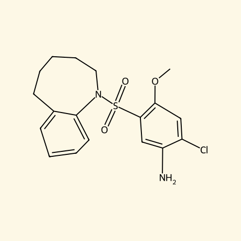 COc1cc(Cl)c(N)cc1S(=O)(=O)N1CCCCCc2ccccc21